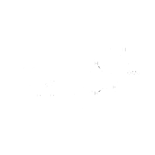 CO[C@@H]1C[C@H]2[C@@H]3CC[C@H]([C@H](C)CCCOS(=O)(=O)c4ccc(C)cc4)[C@@]3(C)CC[C@@H]2[C@@]2(C)CC[C@H]3C[C@]312